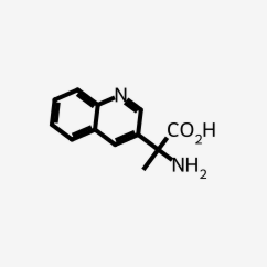 CC(N)(C(=O)O)c1cnc2ccccc2c1